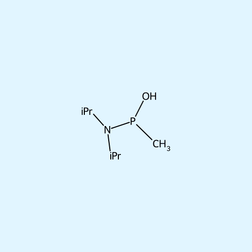 CC(C)N(C(C)C)P(C)O